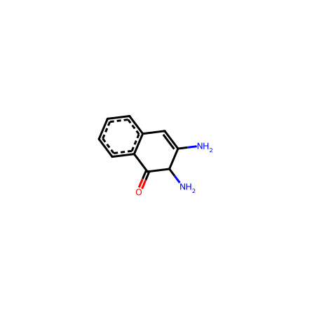 NC1=Cc2ccccc2C(=O)C1N